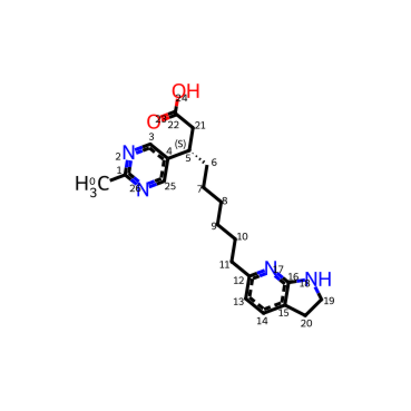 Cc1ncc([C@@H](CCCCCCc2ccc3c(n2)NCC3)CC(=O)O)cn1